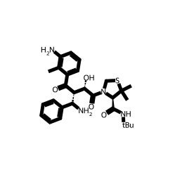 Cc1c(N)cccc1C(=O)[C@@H](C(N)c1ccccc1)[C@H](O)C(=O)N1CSC(C)(C)[C@H]1C(=O)NC(C)(C)C